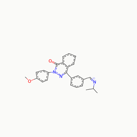 COc1ccc(-n2nc(-c3cccc(/C=N\C(C)C)c3)c3ccccc3c2=O)cc1